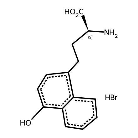 Br.N[C@@H](CCc1ccc(O)c2ccccc12)C(=O)O